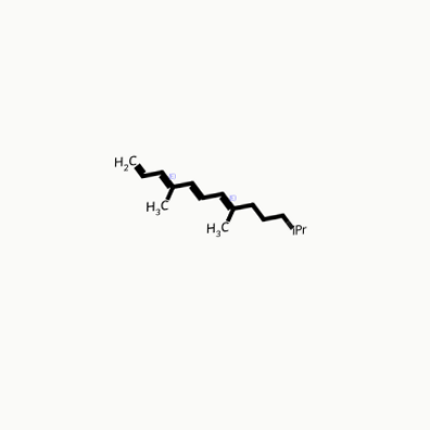 C=C/C=C(\C)C=C/C=C(\C)CCCC(C)C